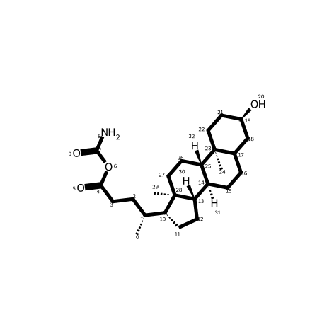 C[C@H](CCC(=O)OC(N)=O)[C@H]1CC[C@H]2[C@@H]3CCC4C[C@H](O)CC[C@]4(C)[C@H]3CC[C@]12C